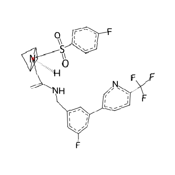 C=C(NCc1cc(F)cc(-c2ccc(C(F)(F)F)nc2)c1)[C@@H]1C2CC(C2)N1S(=O)(=O)c1ccc(F)cc1